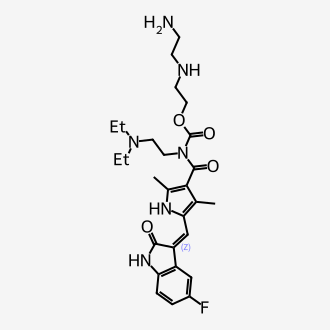 CCN(CC)CCN(C(=O)OCCNCCN)C(=O)c1c(C)[nH]c(/C=C2\C(=O)Nc3ccc(F)cc32)c1C